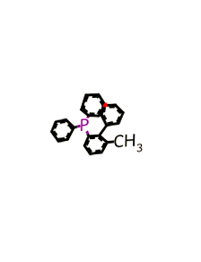 Cc1cccc(P(c2ccccc2)c2ccccc2)c1-c1ccccc1